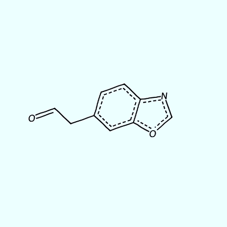 O=CCc1ccc2ncoc2c1